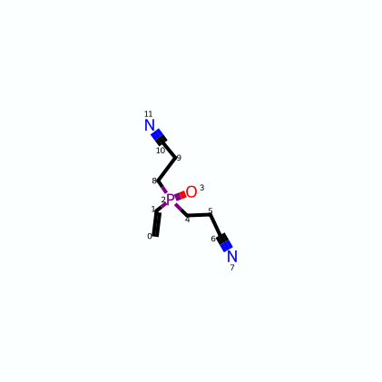 C=CP(=O)(CCC#N)CCC#N